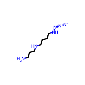 [N-]=[N+]=NNCCCCNCCCN